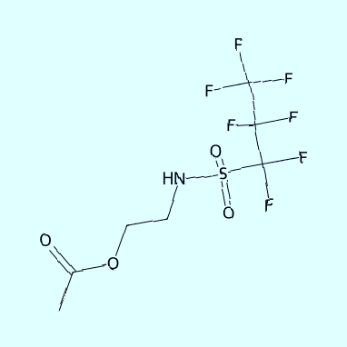 CC(=O)OCCNS(=O)(=O)C(F)(F)C(F)(F)C(F)(F)F